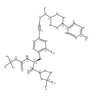 CC(CC#Cc1ccc(C[C@H](NC(=O)OC(C)(C)C)C(=O)N2CCC(F)(F)C2)c(F)c1)C1CCN(c2ncc(Cl)cn2)CC1